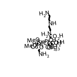 CC(=O)O.CC(=O)O.CC(=O)O.CC(=O)O.CCC[Si](OC)(OC)OCN.NCCNCCN.[Gd]